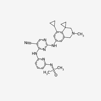 CN1Cc2cc(Nc3ncc(C#N)c(Nc4cccc(N=S(C)(C)=O)n4)n3)cc(C3CC3)c2C2(CC2)C1